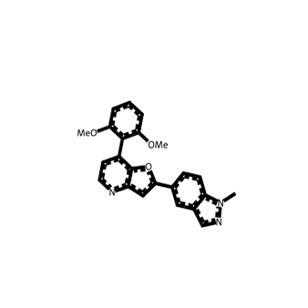 COc1cccc(OC)c1-c1ccnc2cc(-c3ccc4c(cnn4C)c3)oc12